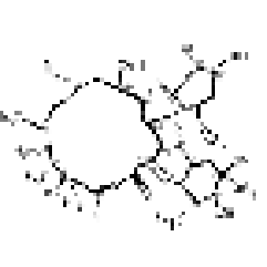 CC[C@H]1OC(=O)[C@H](C)[C@@H](O[C@H]2C[C@@](C)(OC)[C@@H](O)[C@H](C)O2)[C@H](C)[C@@H](O[C@@H]2O[C@H](C)C[C@H](N)[C@H]2O)[C@H](O)C[C@@H](C)CN(C)[C@H](C)[C@@H](O)[C@]1(C)O